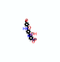 O=Cc1ccc(C(=O)Nc2ccc(-c3nc4ccc([N+](=O)[O-])cc4n3O)cc2)cc1